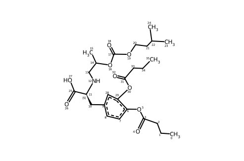 CCCC(=O)Oc1ccc(C[C@H](NCC(C)OC(=O)OCCC(C)C)C(=O)O)cc1OC(=O)CCC